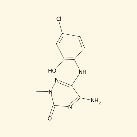 Cn1nc(Nc2ccc(Cl)cc2O)c(N)nc1=O